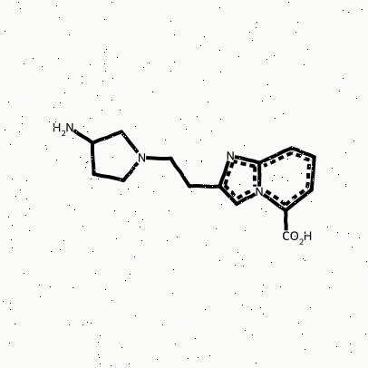 NC1CCN(CCc2cn3c(C(=O)O)cccc3n2)C1